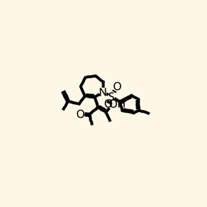 C=C(C)CC1=C(C(C(C)=O)=C(C)O)N(S(=O)(=O)c2ccc(C)cc2)CCCC1